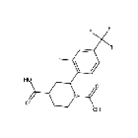 Cc1cc(C(F)(F)F)ccc1C1CC(C(=O)O)CCN1C(=O)O